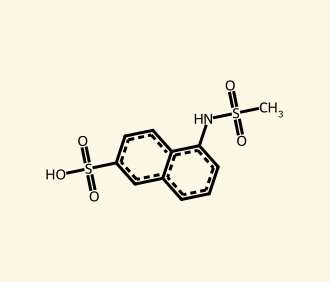 CS(=O)(=O)Nc1cccc2cc(S(=O)(=O)O)ccc12